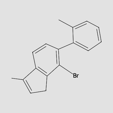 CC1=CCc2c1ccc(-c1ccccc1C)c2Br